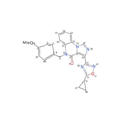 COc1ccc(Cn2c(=O)c3c(-c4noc(C5CC5)n4)ncn3c3ccccc32)cc1